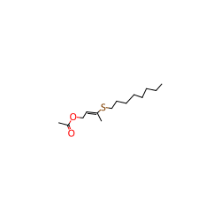 CCCCCCCCS/C(C)=C/COC(C)=O